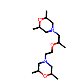 CC(CN1CC(C)OC(C)C1)OCCN1CC(C)OC(C)C1